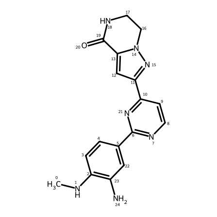 CNc1ccc(-c2nccc(-c3cc4n(n3)CCNC4=O)n2)cc1N